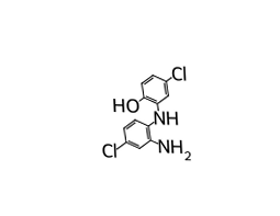 Nc1cc(Cl)ccc1Nc1cc(Cl)ccc1O